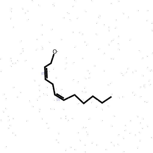 CCCCC/C=C\C/C=C\C[O]